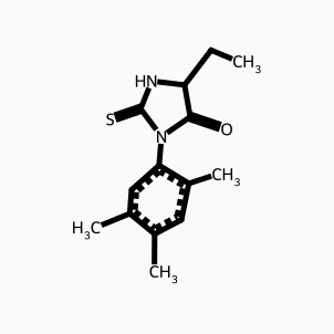 CCC1NC(=S)N(c2cc(C)c(C)cc2C)C1=O